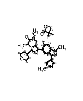 CC1C(=O)N(C)Cc2c(-c3cc4c(-c5cnn(C)c5)nn(C)c4cc3F)nc(C3CCOCC3)n21.O=C(O)C(F)(F)F